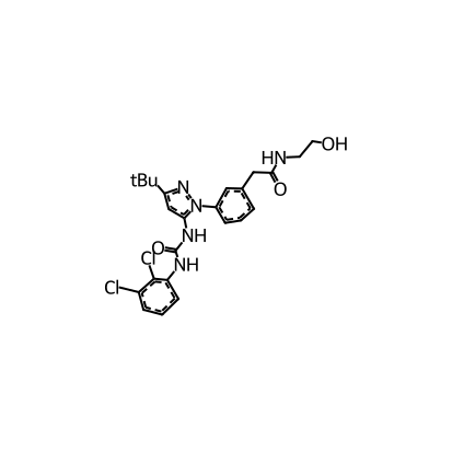 CC(C)(C)c1cc(NC(=O)Nc2cccc(Cl)c2Cl)n(-c2cccc(CC(=O)NCCO)c2)n1